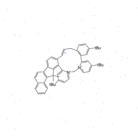 CC(C)(C)c1ccc2c(c1)-c1cc(C(C)(C)C)cc[n+]1C[n+]1ccc(C(C)(C)C)cc1-c1c(ccc3c1C(C)(C)c1c-3ccc3ccccc13)/C=C/C2